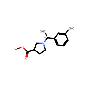 CC(C)(C)OC(=O)C1CCN([C@@H](C=O)c2cccc(C=O)c2)C1